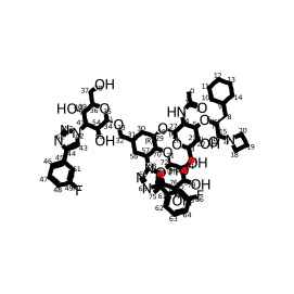 CC(=O)NC1C(O[C@@H](CC2CCCCC2)C(=O)N2CCC2)[C@@H](O)C(CO)O[C@H]1O[C@@H]1CC(CO[C@H]2OC(CO)[C@@H](O)C(n3cc(-c4cccc(F)c4)nn3)C2O)CC(n2cc(-c3cccc(F)c3)nn2)C1O[C@@H]1OC(C)[C@@H](O)C(O)C1O